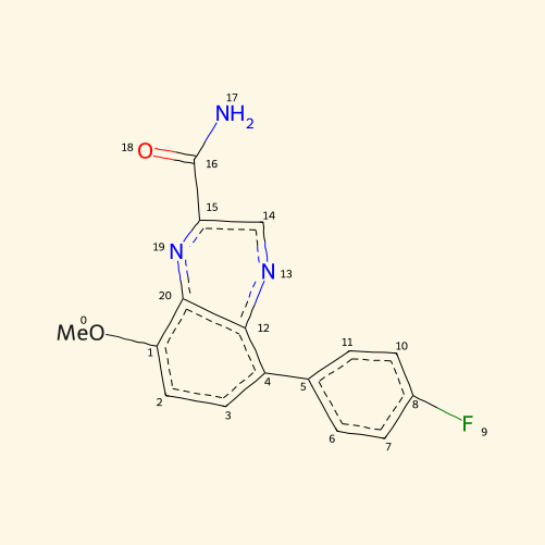 COc1ccc(-c2ccc(F)cc2)c2ncc(C(N)=O)nc12